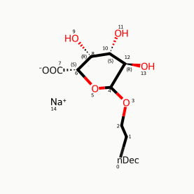 CCCCCCCCCCCCOC1O[C@H](C(=O)[O-])[C@H](O)[C@H](O)[C@H]1O.[Na+]